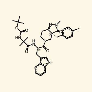 CN1N=C2CCN(C(=O)[C@@H](Cc3c[nH]c4ccccc34)NC(=O)C(C)(C)NC(=O)OC(C)(C)C)C[C@]2(Cc2ccc(F)cc2)C1=O